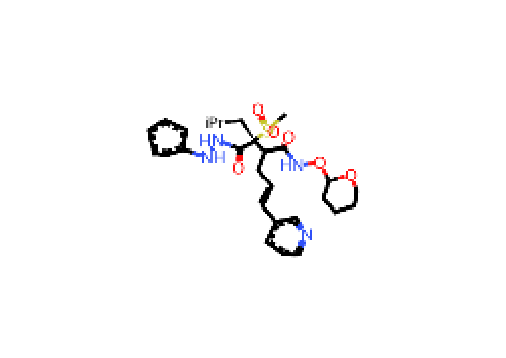 CC(C)C[C@](C(=O)NNc1ccccc1)(C(CC=Cc1cccnc1)C(=O)NOC1CCCCO1)S(C)(=O)=O